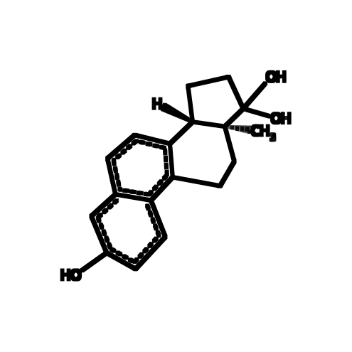 C[C@]12CCc3c(ccc4cc(O)ccc34)[C@@H]1CCC2(O)O